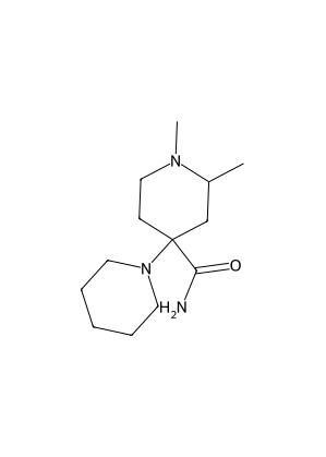 CC1CC(C(N)=O)(N2CCCCC2)CCN1C